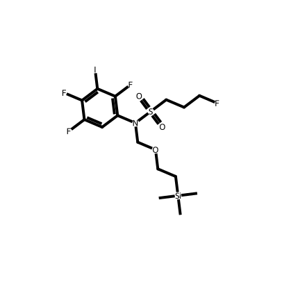 C[Si](C)(C)CCOCN(c1cc(F)c(F)c(I)c1F)S(=O)(=O)CCCF